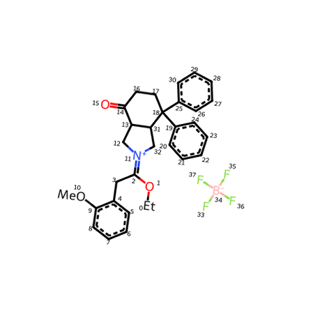 CCOC(Cc1ccccc1OC)=[N+]1CC2C(=O)CCC(c3ccccc3)(c3ccccc3)C2C1.F[B-](F)(F)F